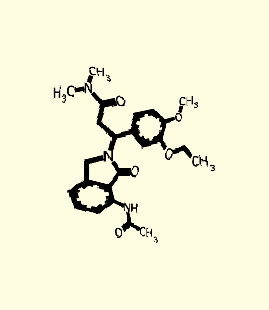 CCOc1cc(C(CC(=O)N(C)C)N2Cc3cccc(NC(C)=O)c3C2=O)ccc1OC